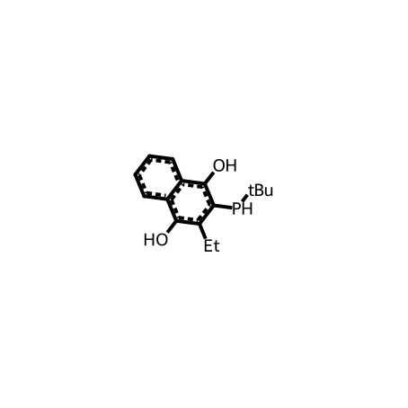 CCc1c(PC(C)(C)C)c(O)c2ccccc2c1O